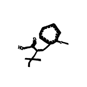 COc1ccccc1/C=C(\C(=O)O)C(C)(C)C